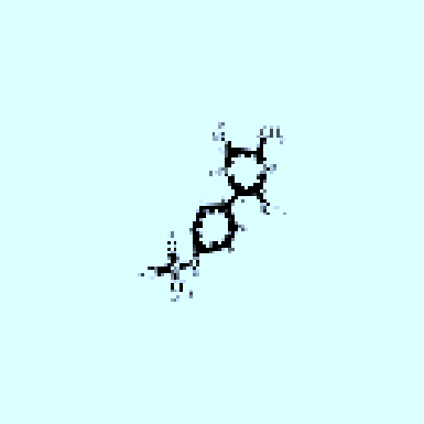 Cc1nc(C)c(-c2ccc(OS(=O)(=O)C(F)(F)F)cc2)nc1C#N